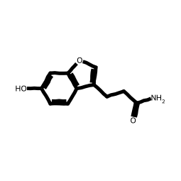 NC(=O)CCc1coc2cc(O)ccc12